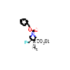 CCOC(=O)[C@@]1(C)CN(C(=O)OCc2ccccc2)C[C@@H]1CF